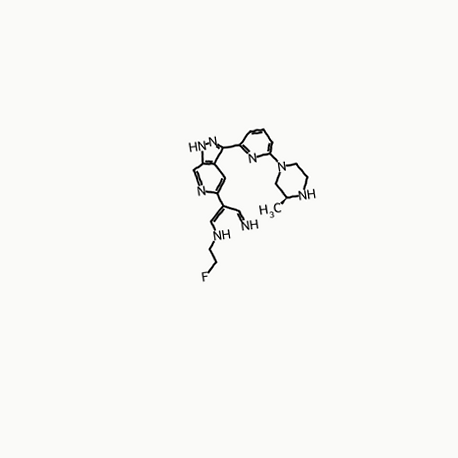 C[C@H]1CN(c2cccc(-c3n[nH]c4cnc(/C(C=N)=C/NCCF)cc34)n2)CCN1